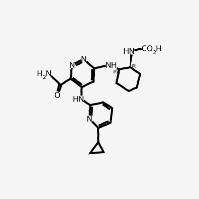 NC(=O)c1nnc(N[C@@H]2CCCC[C@@H]2NC(=O)O)cc1Nc1cccc(C2CC2)n1